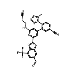 Cn1cnnc1-c1ccc(C#N)cc1-c1cc(NCCC#N)nc(-c2nc3cc(C=O)cc(C(F)(F)F)c3o2)c1